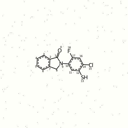 O=C1c2ccccc2CN1c1cc(S)c(Cl)cc1F